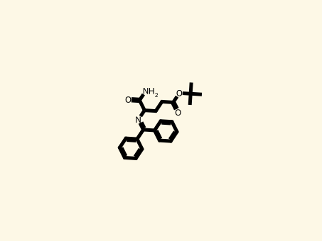 CC(C)(C)OC(=O)CCC(N=C(c1ccccc1)c1ccccc1)C(N)=O